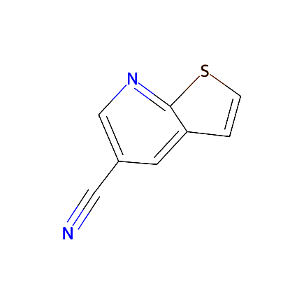 N#Cc1cnc2sccc2c1